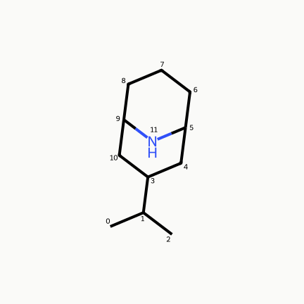 CC(C)C1CC2CCCC(C1)N2